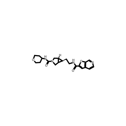 O=C(NCC[C@H]1C2CN(C(=O)NC3CCOCC3)C[C@@H]21)c1cc2ccncc2o1